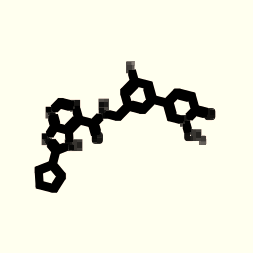 Cn1cc(-c2cc(F)cc(CNC(=O)c3ncnc4nc(C5CCCC5)[nH]c34)c2)ccc1=O